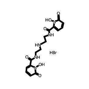 Br.O=C(NCCNCCNC(=O)c1cccc(=O)n1O)c1cccc(=O)n1O